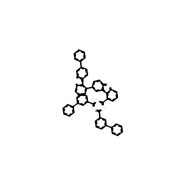 c1ccc(-c2cccc(-c3nc(-c4cccc(-c5ccccc5)c4)nc(-c4cccc5oc6ccc(-c7cccc8oc9cc(-c%10ccccc%10)ccc9c78)cc6c45)n3)c2)cc1